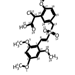 COc1cc(OC)c(C=CS(=O)(=O)Cc2ccc(OC)c(C(Cl)C(=O)O)c2)c(OC)c1